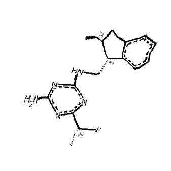 C[C@@H](F)c1nc(N)nc(NC[C@H]2c3ccccc3C[C@@H]2C)n1